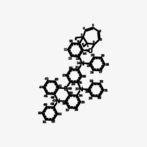 CC1C2C=CC=CC1(C)c1cccc(N(c3ccccc3)c3ccc4c(c3)N(c3ccccc3)c3cccc5c3B4c3ccccc3N5c3ccccc3)c1O2